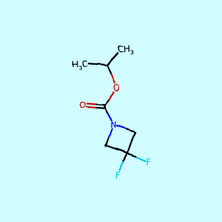 CC(C)OC(=O)N1CC(F)(F)C1